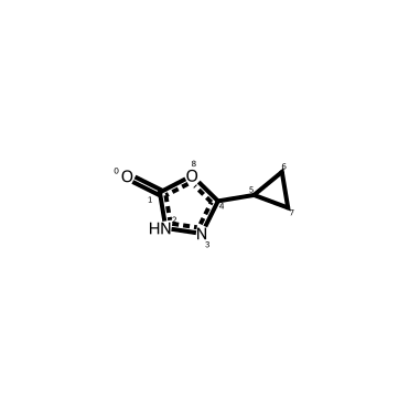 O=c1[nH]nc(C2CC2)o1